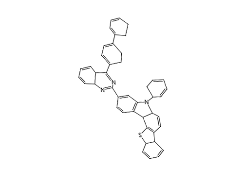 C1=CCCC(C2=CC=C(C3=NC(c4ccc5c(c4)N(C4C=CC=CC4)C4C=CC6=C(SC7C=CC=CC67)C54)=NC4C=CC=CC34)CC2)=C1